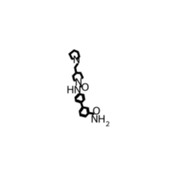 NC(=O)c1cccc(-c2ccc(NC(=O)N3CCC(CCN4CCCCC4)CC3)cc2)c1